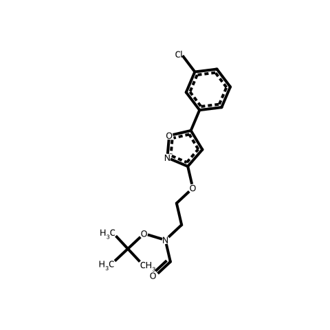 CC(C)(C)ON(C=O)CCOc1cc(-c2cccc(Cl)c2)on1